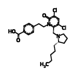 CCCCC[C@H]1CCCN1Cc1c(Cl)cc(Cl)c(=O)n1CCc1ccc(C(=O)O)cc1